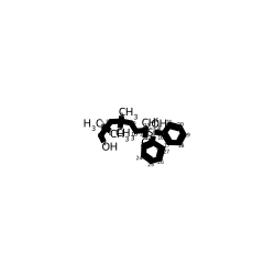 CC(C)(CO)CC(C)(C)CCC(C)(C)[Si](O)(c1ccccc1)c1ccccc1